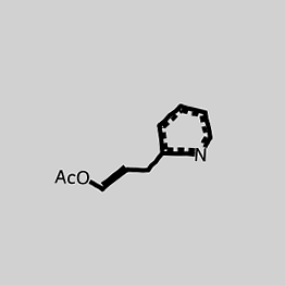 CC(=O)OC=CCc1ccccn1